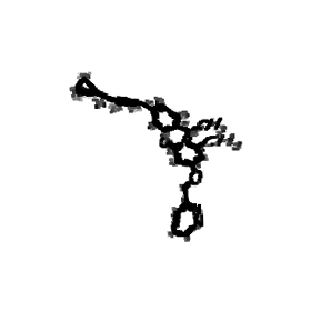 Cc1cc(OCc2cccnn2)cc(=O)n1[C@H](C)c1ccc(C#CC2CC2)cc1